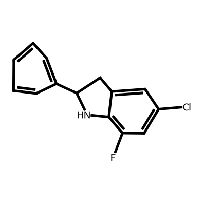 Fc1cc(Cl)cc2c1NC(c1ccccc1)C2